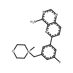 C[N+]1(Cc2cc(F)cc(-c3ccc4ncnc(N)c4n3)c2)CCOCC1